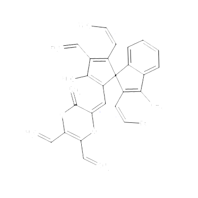 C=CC1=C(C=C)O/C(=C/C2=C(C)C(C=C)=C(/C=C\C)C23C(/C=C\CC)=C(C)c2ccccc23)C(=C)O1